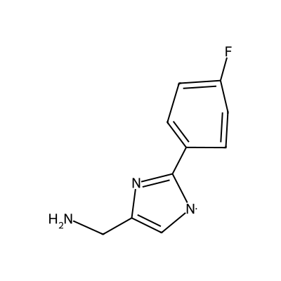 NCC1=C[N]C(c2ccc(F)cc2)=N1